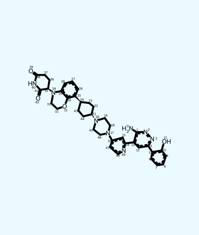 Nc1nnc(-c2ccccc2O)cc1-c1cc(N2CCN([C@H]3CC[C@H](c4cccc5c4OCCN5[C@@H]4CCC(=O)NC4=O)CC3)CC2)ccn1